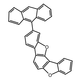 c1ccc2c(-c3ccc4c(c3)oc3c4ccc4oc5ccccc5c43)c3ccccc3cc2c1